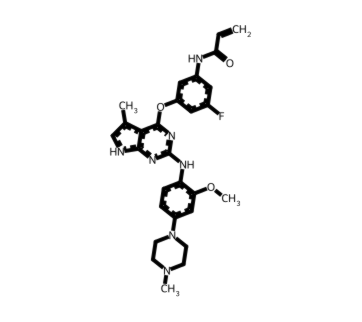 C=CC(=O)Nc1cc(F)cc(Oc2nc(Nc3ccc(N4CCN(C)CC4)cc3OC)nc3[nH]cc(C)c23)c1